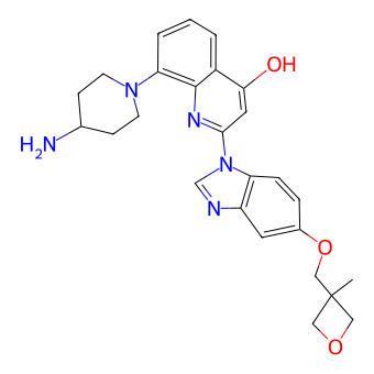 CC1(COc2ccc3c(c2)ncn3-c2cc(O)c3cccc(N4CCC(N)CC4)c3n2)COC1